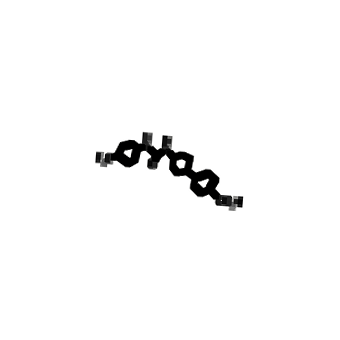 O=C(Nc1ccc(C(F)(F)F)cc1)NC1CCC(c2ccc(C(=O)O)cc2)CC1